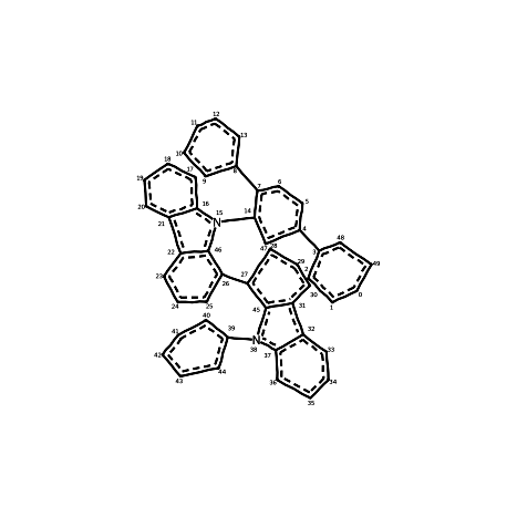 c1ccc(-c2ccc(-c3ccccc3)c(-n3c4ccccc4c4cccc(-c5cccc6c7ccccc7n(-c7ccccc7)c56)c43)c2)cc1